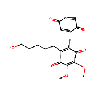 COC1=C(OC)C(=O)C(CCCCCO)=C(C)C1=O.O=C1C=CC(=O)C=C1